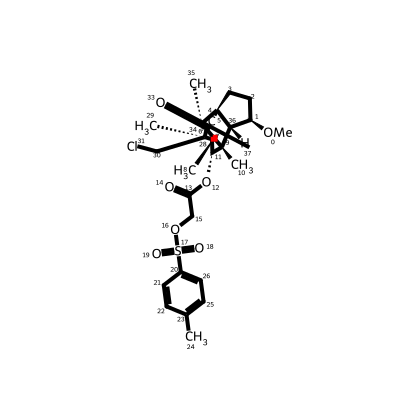 CO[C@@H]1CC[C@@]23CC[C@@H](C)[C@@](C)([C@H](OC(=O)COS(=O)(=O)c4ccc(C)cc4)C[C@@](C)(CCl)C(=O)[C@@H]2C)[C@@H]13